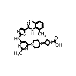 Cc1nc(Nc2ncc(C(=O)Nc3c(C)cccc3Cl)s2)cc(N2CCN(C3CN(C(=O)O)C3)CC2)n1